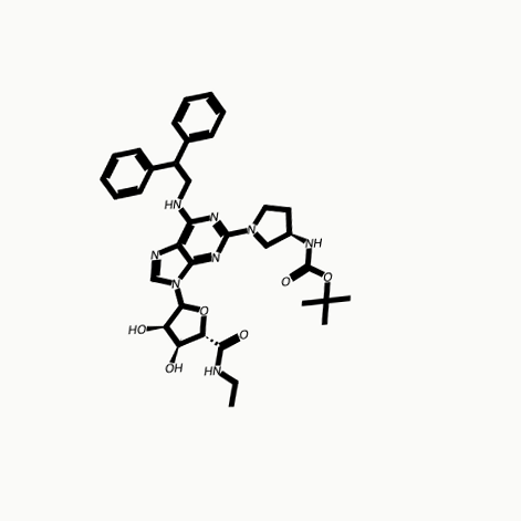 CCNC(=O)[C@H]1OC(n2cnc3c(NCC(c4ccccc4)c4ccccc4)nc(N4CC[C@@H](NC(=O)OC(C)(C)C)C4)nc32)[C@H](O)[C@@H]1O